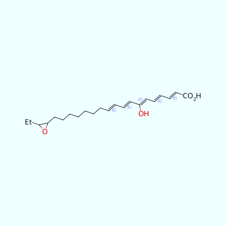 CCC1OC1CCCCCCC/C=C/C=C/C(O)=C/C=C/C=C/C(=O)O